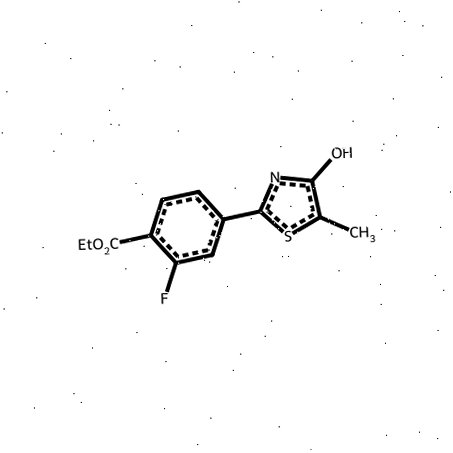 CCOC(=O)c1ccc(-c2nc(O)c(C)s2)cc1F